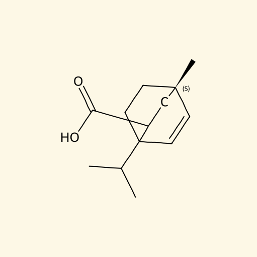 CC(C)C12C=C[C@@](C)(CC1)CC2C(=O)O